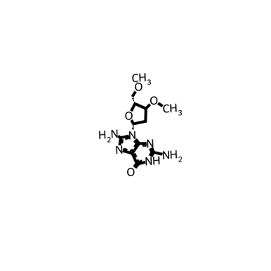 COC[C@H]1O[C@@H](n2c(N)nc3c(=O)[nH]c(N)nc32)CC1OC